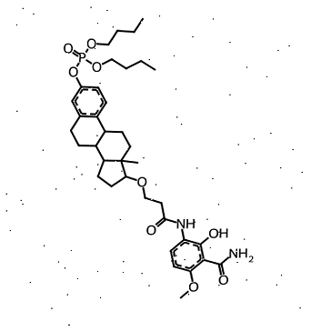 CCCCOP(=O)(OCCCC)Oc1ccc2c(c1)CCC1C2CCC2(C)C(OCCC(=O)Nc3ccc(OC)c(C(N)=O)c3O)CCC12